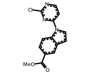 COC(=O)c1ccc2c(ccn2-c2ccnc(Cl)n2)c1